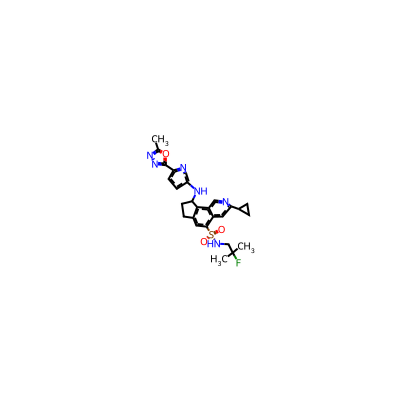 Cc1nnc(-c2ccc(NC3CCc4cc(S(=O)(=O)NCC(C)(C)F)c5cc(C6CC6)ncc5c43)cn2)o1